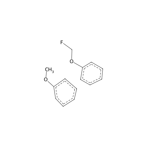 COc1ccccc1.FCOc1ccccc1